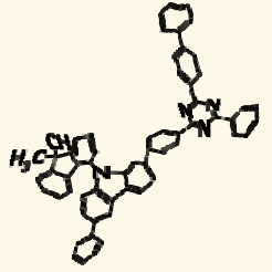 CC1(C)c2ccccc2-c2c(-n3c4ccc(-c5ccccc5)cc4c4ccc(-c5ccc(-c6nc(-c7ccccc7)nc(-c7ccc(-c8ccccc8)cc7)n6)cc5)cc43)cccc21